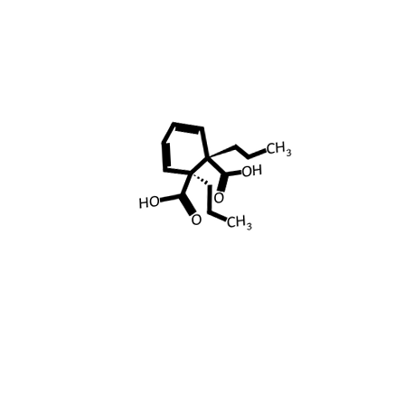 CCC[C@]1(C(=O)O)C=CC=C[C@]1(CCC)C(=O)O